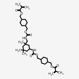 C=C(C)C(=O)OCC1CCC(COC(=O)NCC2(C)CC(NC(=O)OCC3CCC(COC(=O)C(=C)C)CC3)CC(C)(C)C2)CC1